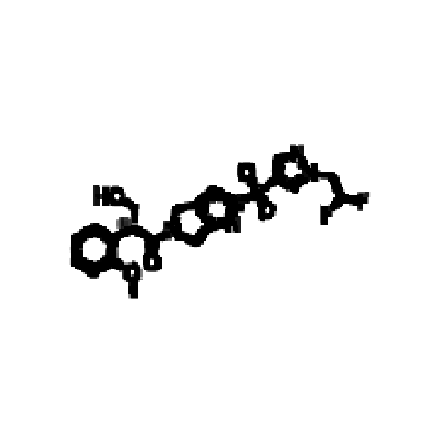 COc1ccccc1[C@H](CO)C(=O)N1Cc2cn(S(=O)(=O)c3cnn(CC(F)F)c3)nc2C1